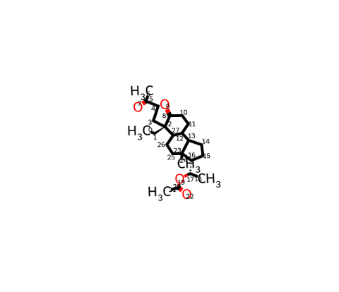 CC[C@@]1(CCC(C)=O)C(=O)CCC2C3CC[C@H](C(C)OC(C)=O)C3(C)CCC21